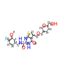 COc1cc(CNC(=O)c2nc3scc(COCC4CCC(CO)OC4)c3c(=O)[nH]2)ccc1F